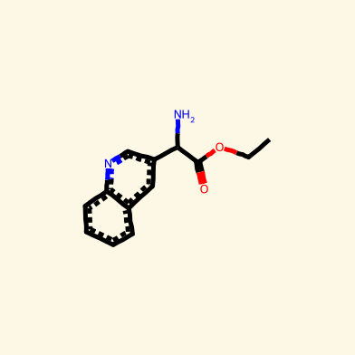 CCOC(=O)C(N)c1cnc2ccccc2c1